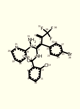 C=C(/C(=C(/NC(=O)c1ccccc1Cl)N(N)c1ncccn1)c1ccc(Br)cc1)C(F)(F)F